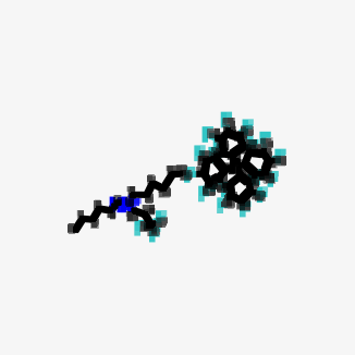 CCCCCC[NH+](CCCCCC)CCC(F)(F)F.Fc1c(F)c(F)c([B-](c2c(F)c(F)c(F)c(F)c2F)(c2c(F)c(F)c(F)c(F)c2F)c2c(F)c(F)c(F)c(F)c2F)c(F)c1F